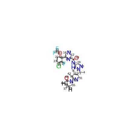 Cc1c(C(C)n2cc(NC(=O)c3cncc(-c4c(OC(F)F)ccc(Cl)c4F)n3)cn2)cnc(N2C[C@H]3C[C@H]3C2=O)c1C